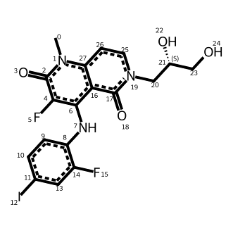 Cn1c(=O)c(F)c(Nc2ccc(I)cc2F)c2c(=O)n(C[C@H](O)CO)ccc21